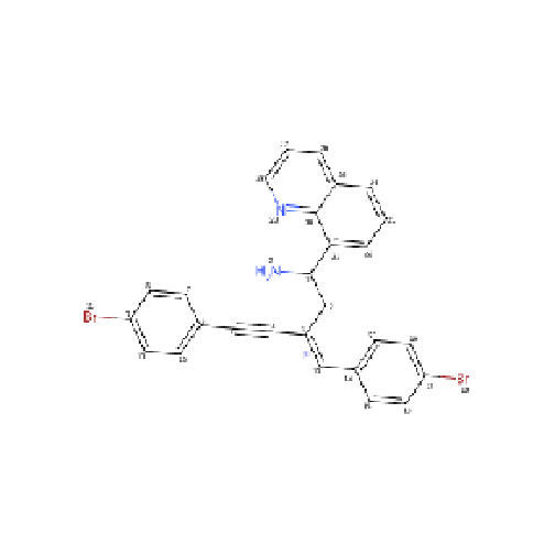 NC(C/C(C#Cc1ccc(Br)cc1)=C\c1ccc(Br)cc1)c1cccc2cccnc12